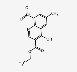 CCOC(=O)c1cnc2c([N+](=O)[O-])cc(C)cc2c1O